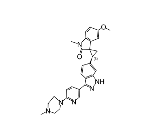 COc1ccc2c(c1)C1(C[C@H]1c1ccc3c(-c4ccc(N5CCN(C)CC5)nc4)n[nH]c3c1)C(=O)N2C